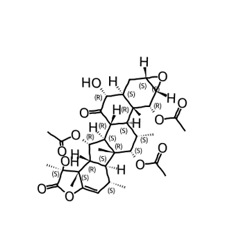 CC(=O)O[C@@H]1[C@H]2[C@@H]3C(=O)[C@H](O)[C@H]4C[C@@H]5O[C@@H]5[C@H](OC(C)=O)[C@]4(C)[C@H]3[C@H](C)[C@H](OC(C)=O)[C@]2(C)[C@@H]2[C@@H]1[C@]1(C)C(=C[C@H]2C)OC(=O)[C@@]1(C)O